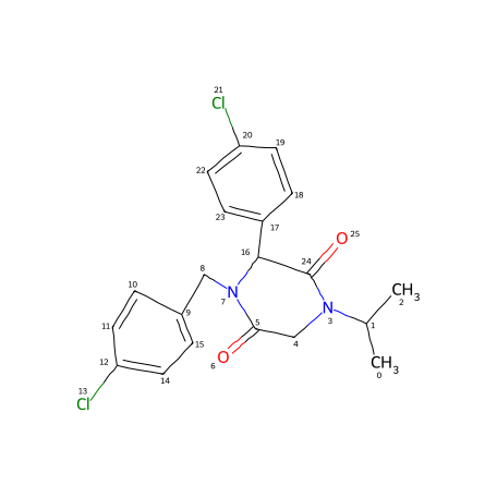 CC(C)N1CC(=O)N(Cc2ccc(Cl)cc2)C(c2ccc(Cl)cc2)C1=O